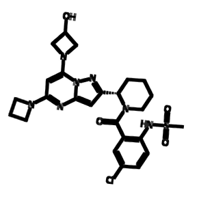 CS(=O)(=O)Nc1ccc(Cl)cc1C(=O)N1CCCC[C@H]1c1cc2nc(N3CCC3)cc(N3CC(O)C3)n2n1